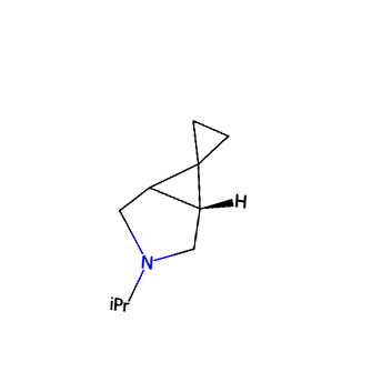 CC(C)N1CC2[C@@H](C1)C21CC1